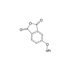 CCCOc1ccc2c(c1)C(=O)OC2=O